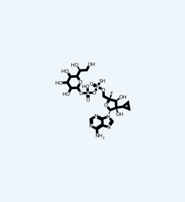 Nc1ncnc2c1ncn2[C@@H]1O[C@](F)(COP(=O)(S)OP(=O)(O)OC2OC([C@@H](O)CO)C(O)C(O)C2O)[C@@H](O)[C@]1(O)C1CC1